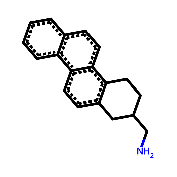 NCC1CCc2c(ccc3c2ccc2ccccc23)C1